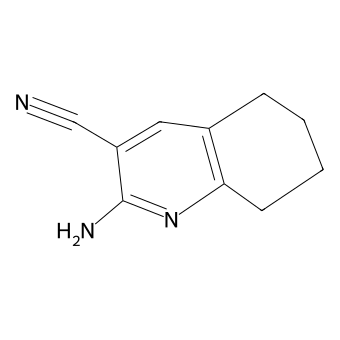 N#Cc1cc2c(nc1N)CCCC2